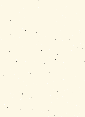 CC(C)CCCCC(=O)Oc1cccc(Oc2ccccc2)c1OC(=O)CCCCC(C)C